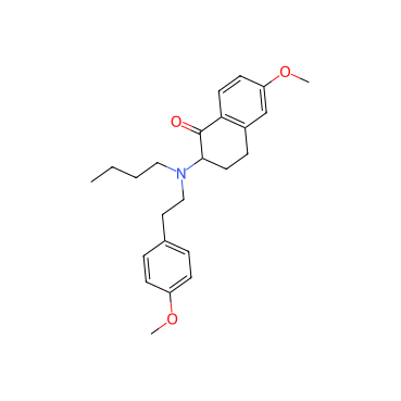 CCCCN(CCc1ccc(OC)cc1)C1CCc2cc(OC)ccc2C1=O